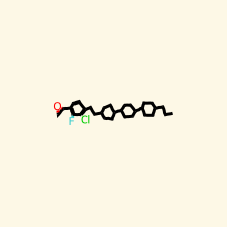 CCCC1CCC(C2CCC(C3CCC(CCc4ccc(C5CO5)c(F)c4Cl)CC3)CC2)CC1